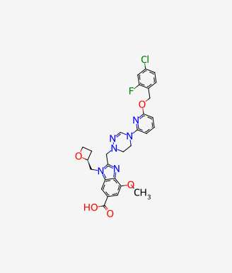 COc1cc(C(=O)O)cc2c1nc(CN1CCN(c3cccc(OCc4ccc(Cl)cc4F)n3)C=N1)n2C[C@@H]1CCO1